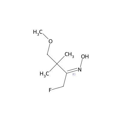 COCC(C)(C)/C(CF)=N\O